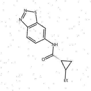 CCC1C[C@H]1C(=O)Nc1ccc2nnsc2c1